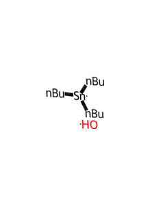 CCC[CH2][Sn]([CH2]CCC)[CH2]CCC.[OH]